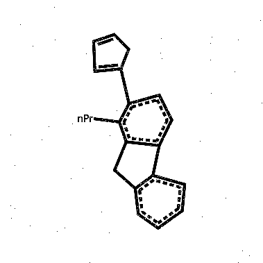 CCCc1c(C2=CC=CC2)ccc2c1Cc1ccccc1-2